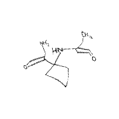 CC(=O)NC1(C(N)=O)CCC1